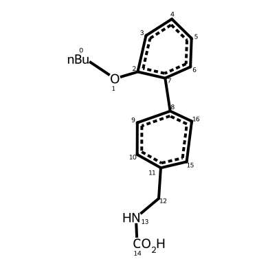 CCCCOc1ccccc1-c1ccc(CNC(=O)O)cc1